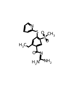 CCc1cc(Sc2ccccn2)c(S(C)(=O)=O)cc1C(=O)N=C(N)N